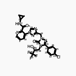 O=C(NC1CC1)c1ncccc1-n1cnc(Cn2nc(-c3ccc(Cl)cc3)n(C[C@H](O)C(F)(F)F)c2=O)n1